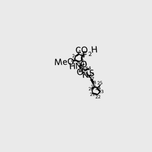 COc1cc(C(=O)O)c(F)cc1NS(=O)(=O)c1csc(C#Cc2ccccc2C)n1